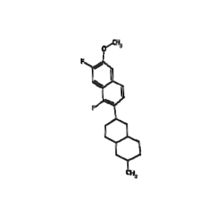 COc1cc2ccc(C3CCC4CC(C)CCC4C3)c(F)c2cc1F